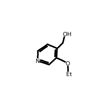 CCOc1cnccc1CO